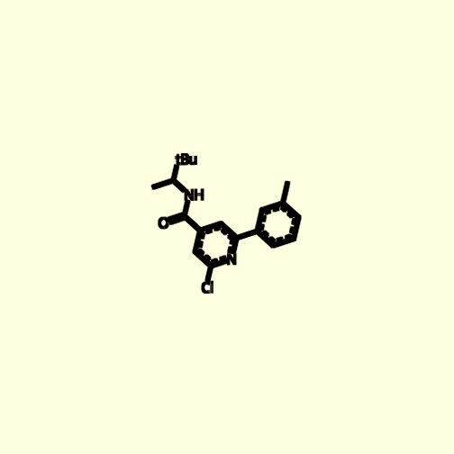 Cc1cccc(-c2cc(C(=O)NC(C)C(C)(C)C)cc(Cl)n2)c1